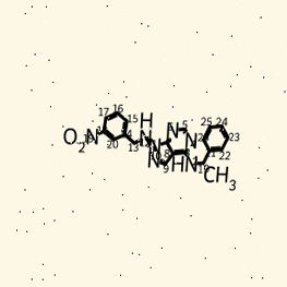 C[C@H](Nc1ncnc2c1cnn2NCc1cccc([N+](=O)[O-])c1)c1ccccc1